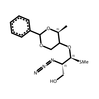 CS[C@H](OC1COC(c2ccccc2)O[C@H]1C)[C@H](CO)N=[N+]=[N-]